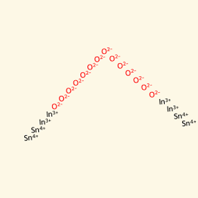 [In+3].[In+3].[In+3].[In+3].[O-2].[O-2].[O-2].[O-2].[O-2].[O-2].[O-2].[O-2].[O-2].[O-2].[O-2].[O-2].[O-2].[O-2].[Sn+4].[Sn+4].[Sn+4].[Sn+4]